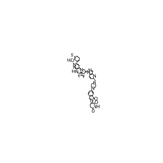 O=C1CC[C@H](N2Cc3ccc(N4CCN(Cc5ccc6c(cnn6[C@H]6CN7c8cc(-c9cccc(F)c9O)nnc8NC[C@@]7(C(F)F)C6)n5)CC4)cc3C2=O)C(=O)N1